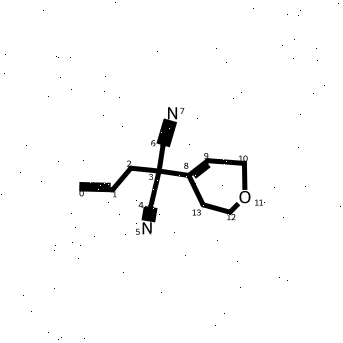 C=CCC(C#N)(C#N)C1=CCOCC1